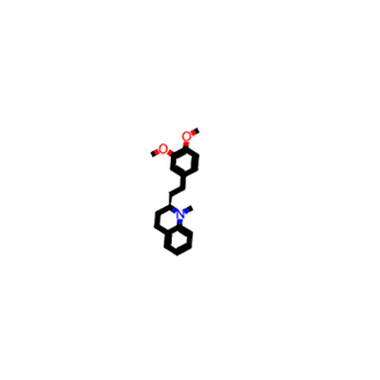 COc1ccc(CC[C@@H]2CCc3ccccc3N2C)cc1OC